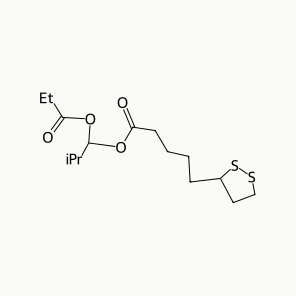 CCC(=O)OC(OC(=O)CCCCC1CCSS1)C(C)C